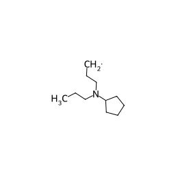 [CH2]CCN(CCC)C1CCCC1